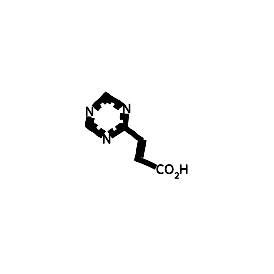 O=C(O)C=Cc1ncncn1